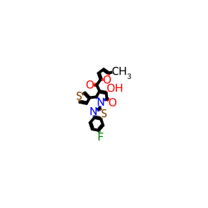 Cc1ccc(C(=O)C2=C(O)C(=O)N(c3nc4ccc(F)cc4s3)C2c2ccsc2)o1